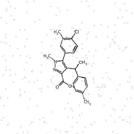 Cc1ccc(C(C)c2c(C(=O)O)nn(C)c2-c2ccc(Cl)c(C)c2)cc1